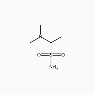 CC(N(C)C)S(N)(=O)=O